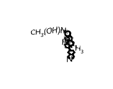 CN(O)[C@@H]1CCC2=CC3=CCC4(C)C(c5ccc6ccncc6c5)CC[C@H]4[C@@]34CC[C@]2(C1)O4